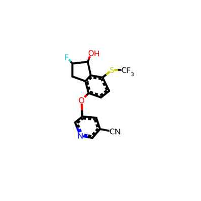 N#Cc1cncc(Oc2ccc(SC(F)(F)F)c3c2CC(F)C3O)c1